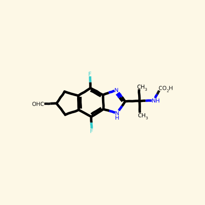 CC(C)(NC(=O)O)c1nc2c(F)c3c(c(F)c2[nH]1)CC(C=O)C3